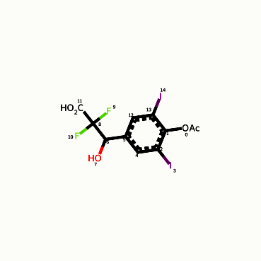 CC(=O)Oc1c(I)cc(C(O)C(F)(F)C(=O)O)cc1I